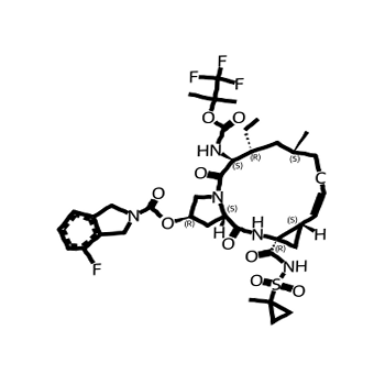 CC[C@@H]1C[C@@H](C)CCC=C[C@@H]2C[C@@]2(C(=O)NS(=O)(=O)C2(C)CC2)NC(=O)[C@@H]2C[C@@H](OC(=O)N3Cc4cccc(F)c4C3)CN2C(=O)[C@H]1NC(=O)OC(C)(C)C(F)(F)F